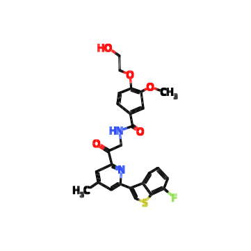 COc1cc(C(=O)NCC(=O)c2cc(C)cc(-c3csc4c(F)cccc34)n2)ccc1OCCO